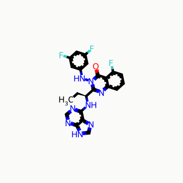 CC[C@H](Nc1ncnc2[nH]cnc12)c1nc2cccc(F)c2c(=O)n1Nc1cc(F)cc(F)c1